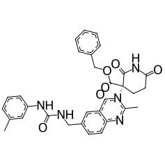 Cc1cccc(NC(=O)NCc2ccc3nc(C)n([C@@]4(C(=O)OCc5ccccc5)CCC(=O)NC4=O)c(=O)c3c2)c1